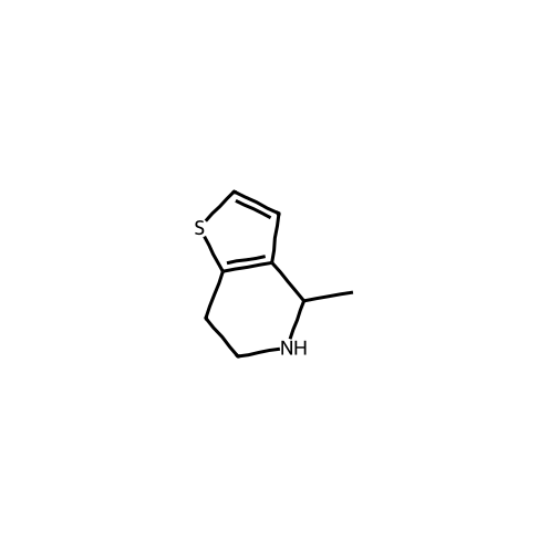 CC1NCCc2sccc21